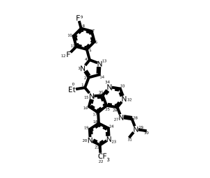 CCC(C1=NC(c2ccc(F)cc2F)N=C1)n1cc(-c2cnc(C(F)(F)F)nc2)c2c(N=CN(C)C)ncnc21